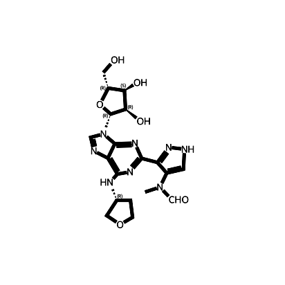 CN(C=O)c1c[nH]nc1-c1nc(N[C@@H]2CCOC2)c2ncn([C@@H]3O[C@H](CO)[C@@H](O)[C@H]3O)c2n1